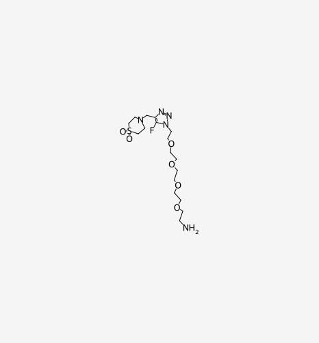 NCCOCCOCCOCCOCCn1nnc(CN2CCS(=O)(=O)CC2)c1F